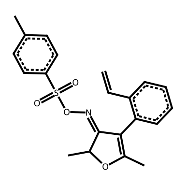 C=Cc1ccccc1C1=C(C)OC(C)/C1=N\OS(=O)(=O)c1ccc(C)cc1